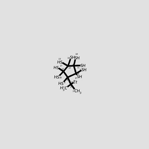 CCC(C)(C)C1(S)C(S)(S)C(S)(S)C(S)(S)C1(S)S